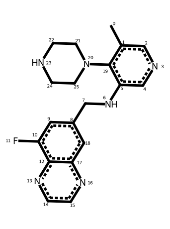 Cc1cncc(NCc2cc(F)c3nccnc3c2)c1N1CCNCC1